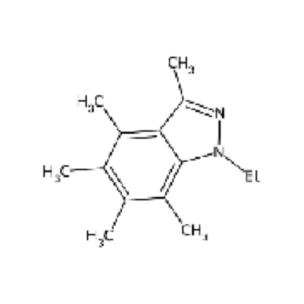 CCn1nc(C)c2c(C)c(C)c(C)c(C)c21